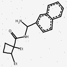 CCC1CCC1(CC)C(=O)NC(N)c1ccc2ccccc2c1